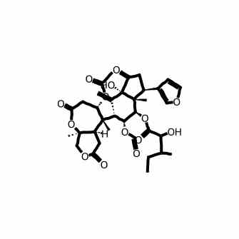 C=C1[C@@H]([C@@]2(C)[C@@H](OC(C)=O)CC(=O)O[C@]3(C)COC(=O)C[C@H]23)[C@@H](OC=O)[C@H](OC(=O)C(O)C(C)CC)[C@@]2(C)[C@H](c3ccoc3)CC(=O)[C@]12O